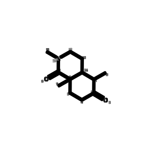 CC1C(=O)CCC2(C)C(=O)N(C)CCC12